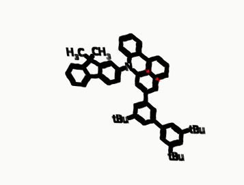 CC(C)(C)c1cc(-c2cccc(N(c3ccc4c(c3)C(C)(C)c3ccccc3-4)c3ccccc3-c3ccccc3)c2)cc(-c2cc(C(C)(C)C)cc(C(C)(C)C)c2)c1